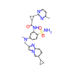 Cc1ccnc(C2CC2C(=O)Nc2cc(N(C)Cc3cn4cc(C5CC5)ccc4n3)ccc2S(N)(=O)=O)n1